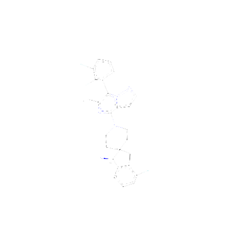 Cc1nc(N2CCC3(CC2)Cc2c(F)cccc2[C@H]3N)c2ccnn2c1-c1cccc(F)c1F